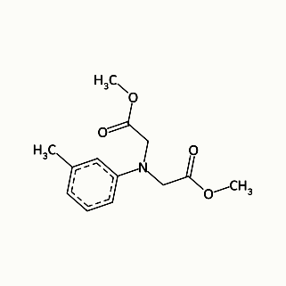 COC(=O)CN(CC(=O)OC)c1cccc(C)c1